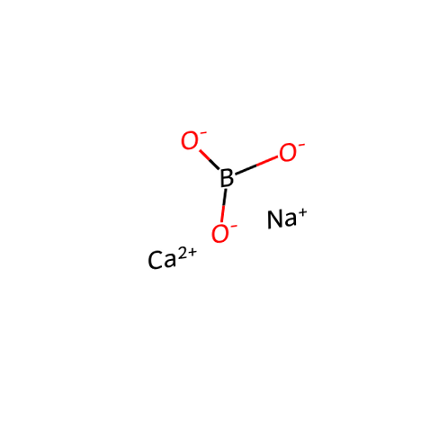 [Ca+2].[Na+].[O-]B([O-])[O-]